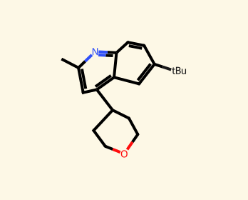 Cc1cc(C2CCOCC2)c2cc(C(C)(C)C)ccc2n1